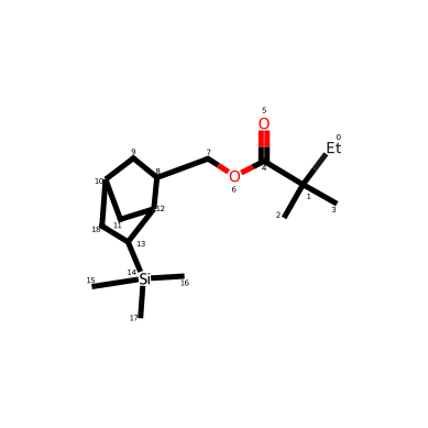 CCC(C)(C)C(=O)OCC1CC2CC1C([Si](C)(C)C)C2